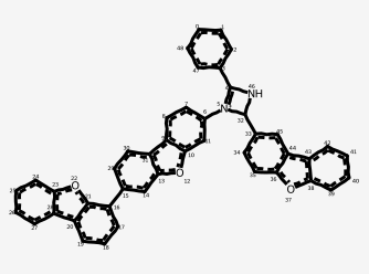 c1ccc(C2=[N+](c3ccc4c(c3)oc3cc(-c5cccc6c5oc5ccccc56)ccc34)C(c3ccc4oc5ccccc5c4c3)N2)cc1